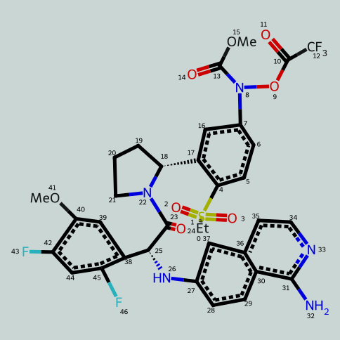 CCS(=O)(=O)c1ccc(N(OC(=O)C(F)(F)F)C(=O)OC)cc1[C@H]1CCCN1C(=O)[C@H](Nc1ccc2c(N)nccc2c1)c1cc(OC)c(F)cc1F